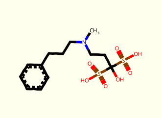 CN(CCCc1ccccc1)CCC(O)(S(=O)(=O)O)S(=O)(=O)O